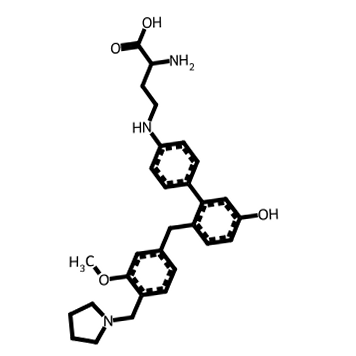 COc1cc(Cc2ccc(O)cc2-c2ccc(NCCC(N)C(=O)O)cc2)ccc1CN1CCCC1